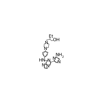 CCC(CO)CN1CCN(c2ccc(Nc3nc(-c4cncc(N)n4)cn4ccnc34)cc2)CC1